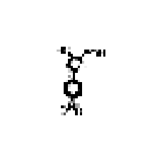 O=[N+]([O-])c1ccc([C@H]2CC(O)[C@@H](CO)O2)cc1